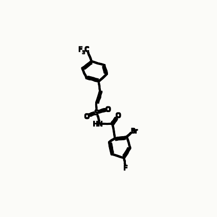 O=C(NS(=O)(=O)/C=C/c1ccc(C(F)(F)F)cc1)c1ccc(F)cc1Br